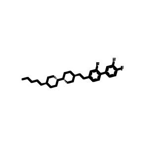 CCCCC[C@H]1CC[C@H]([C@H]2CC[C@H](CCc3ccc(-c4ccc(F)c(F)c4)c(F)c3)CC2)CC1